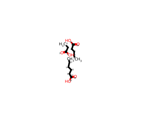 CCC(=O)O.CCCCC(=O)O.CCCCCC(=O)O